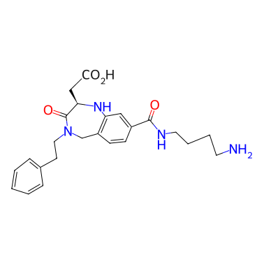 NCCCCNC(=O)c1ccc2c(c1)N[C@H](CC(=O)O)C(=O)N(CCc1ccccc1)C2